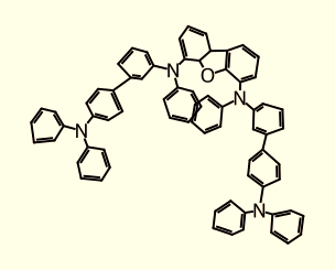 C1=CC2c3cccc(N(c4ccccc4)c4cccc(-c5ccc(N(c6ccccc6)c6ccccc6)cc5)c4)c3OC2C(N(c2ccccc2)c2cccc(-c3ccc(N(c4ccccc4)c4ccccc4)cc3)c2)=C1